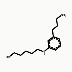 NCCCc1cccc(NCCCCCO)c1